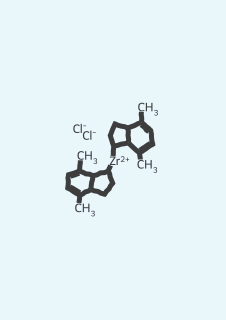 CC1=CC=C(C)C2[CH]([Zr+2][CH]3CCC4C(C)=CC=C(C)C34)CCC12.[Cl-].[Cl-]